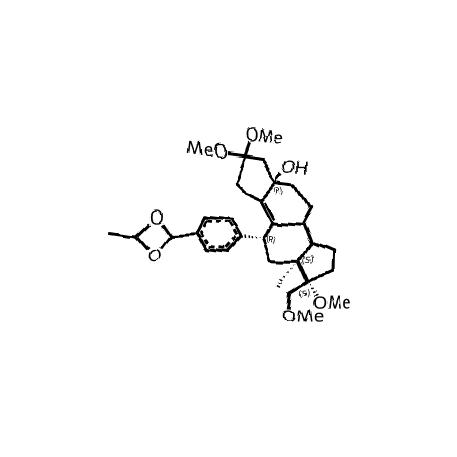 COC[C@]1(OC)CCC2C3CC[C@@]4(O)CC(OC)(OC)CCC4=C3[C@@H](c3ccc(C4OC(C)O4)cc3)C[C@@]21C